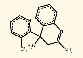 NC1=Nc2ccccc2C(N)(c2ncccc2C(F)(F)F)C1